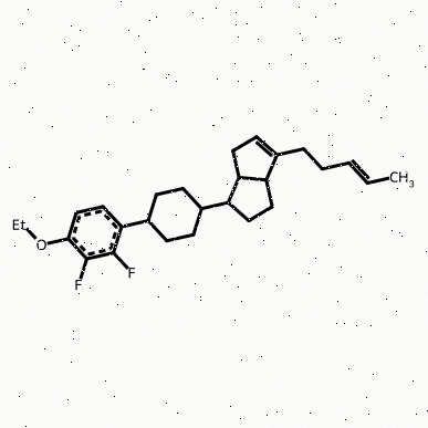 C/C=C/CCC1=CCC2C1CCC2C1CCC(c2ccc(OCC)c(F)c2F)CC1